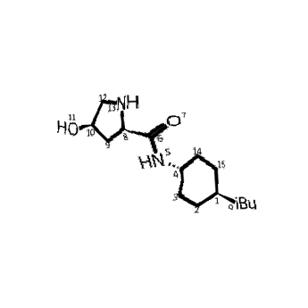 CCC(C)[C@H]1CC[C@H](NC(=O)[C@H]2C[C@@H](O)CN2)CC1